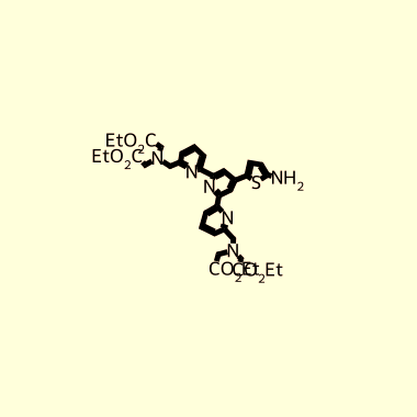 CCOC(=O)CN(CC(=O)OCC)Cc1cccc(-c2cc(-c3ccc(N)s3)cc(-c3cccc(CN(CC(=O)OCC)CC(=O)OCC)n3)n2)n1